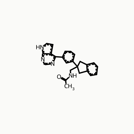 CC(=O)NCC1(c2cccc(-c3ncnc4[nH]ccc34)c2)Cc2ccccc2C1